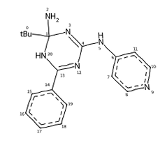 CC(C)(C)C1(N)N=C(Nc2ccncc2)N=C(c2ccccc2)N1